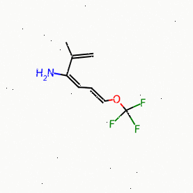 C=C(C)/C(N)=C\C=C\OC(F)(F)F